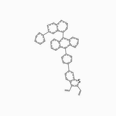 C=Cc1sc2cc(-c3ccc(-c4c5ccccc5c(-c5cccc6ccc(-c7ccccc7)cc56)c5ccccc45)cc3)ccc2c1C=C